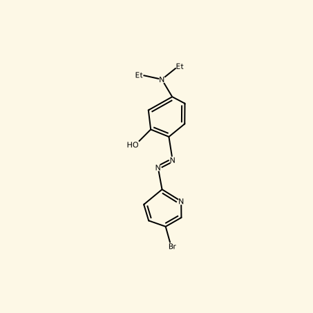 CCN(CC)c1ccc(/N=N/c2ccc(Br)cn2)c(O)c1